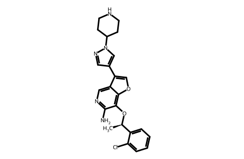 C[C@@H](Oc1c(N)ncc2c(-c3cnn(C4CCNCC4)c3)coc12)c1ccccc1Cl